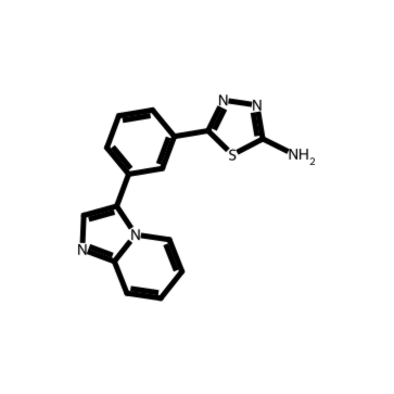 Nc1nnc(-c2cccc(-c3cnc4ccccn34)c2)s1